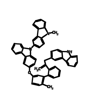 C=C(Cc1ccc2[nH]c3ccccc3c2c1)c1ccccc1-c1cc(Oc2ccc3c(c2)c2ccccc2n3-c2ccc3c(c2)c2ccccc2n3C)ccc1C